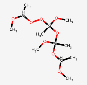 CO[SiH](C)OO[Si](C)(OC)O[Si](C)(OC)O[SiH](C)OC